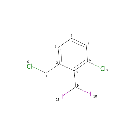 ClCc1cccc(Cl)c1C(I)I